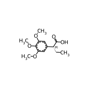 CC[C@@H](C(=O)O)c1cc(OC)c(OC)c(OC)c1